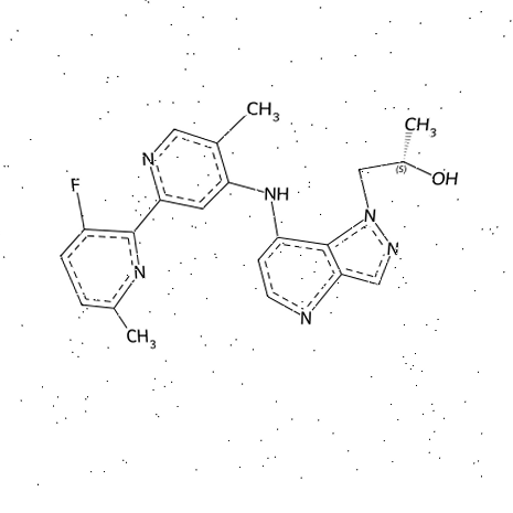 Cc1ccc(F)c(-c2cc(Nc3ccnc4cnn(C[C@H](C)O)c34)c(C)cn2)n1